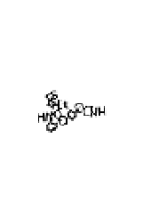 CCn1c(C(=O)Nc2ccccc2COc2ccc(OC3CCNCC3)cc2)cc2ccsc21